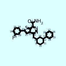 NC(=O)c1nnc(CC2CCCC(c3ccccc3)C2)c2cc(-c3cccc(F)c3)sc12